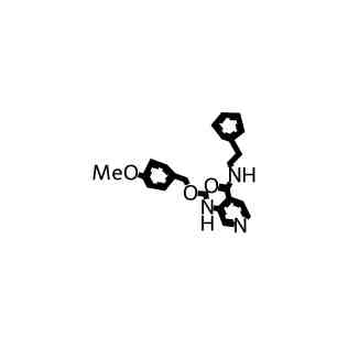 COc1ccc(COCNc2cnccc2C(=O)NCCc2ccccc2)cc1